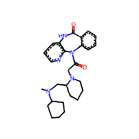 CN(CC1CCCCN1CC(=O)N1c2ccccc2C(=O)Nc2cccnc21)C1CCCCC1